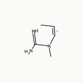 C/C=C\N(C)C(=N)N